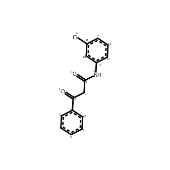 O=C(CC(=O)c1ccccc1)Nc1cccc(Cl)c1